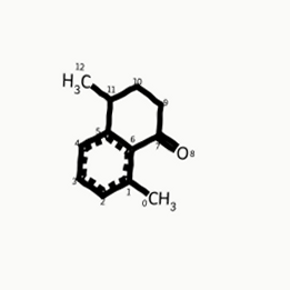 Cc1cccc2c1C(=O)CCC2C